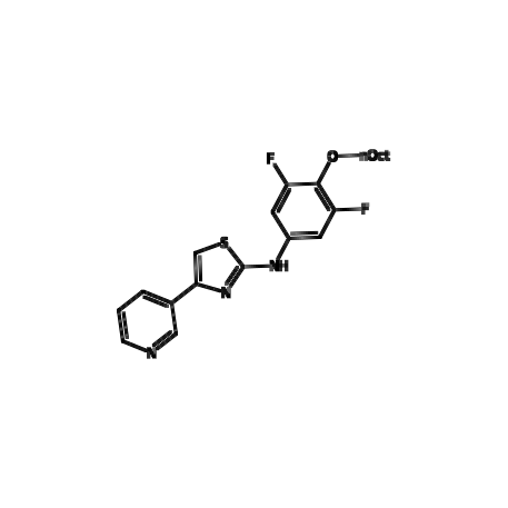 CCCCCCCCOc1c(F)cc(Nc2nc(-c3cccnc3)cs2)cc1F